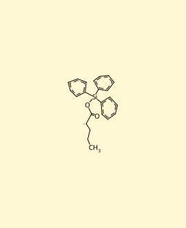 CCC[CH]C(=O)O[Si](c1ccccc1)(c1ccccc1)c1ccccc1